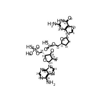 Nc1nc2c(ncn2[C@H]2CC[C@@H](COP(=O)(S)OC3C(F)[C@H](n4cnc5c(N)ncnc54)O[C@@H]3COP(=O)(O)S)O2)c(=O)[nH]1